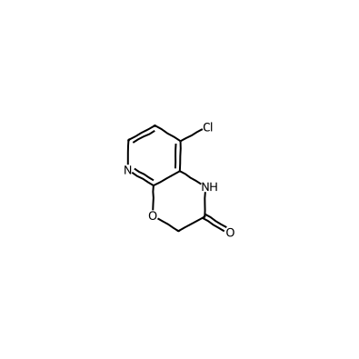 O=C1COc2nccc(Cl)c2N1